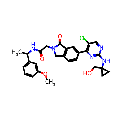 COc1cccc(C(C)NC(=O)CN2Cc3ccc(-c4nc(NC5(CO)CC5)ncc4Cl)cc3C2=O)c1